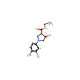 CCOC(=O)C1CN(c2ccc(Cl)c(Cl)c2)CC1=O